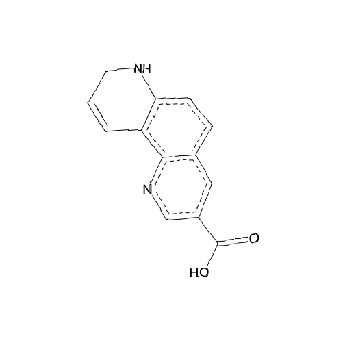 O=C(O)c1cnc2c3c(ccc2c1)NCC=C3